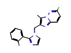 Cc1c(Cn2ccnc2-c2ccccc2C(F)(F)F)nc2ccc(Cl)nn12